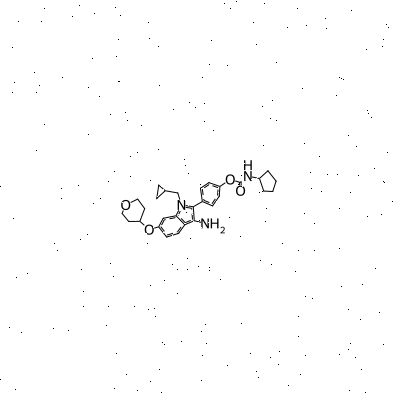 Nc1c(-c2ccc(OC(=O)NC3CCCC3)cc2)n(CC2CC2)c2cc(OC3CCOCC3)ccc12